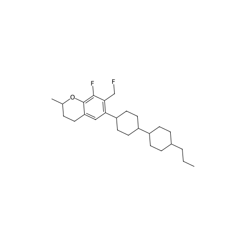 CCCC1CCC(C2CCC(c3cc4c(c(F)c3CF)OC(C)CC4)CC2)CC1